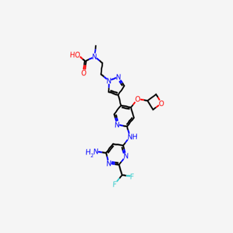 CN(CCn1cc(-c2cnc(Nc3cc(N)nc(C(F)F)n3)cc2OC2COC2)cn1)C(=O)O